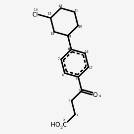 O=C(O)CCC(=O)c1ccc(C2CCCC(Cl)C2)cc1